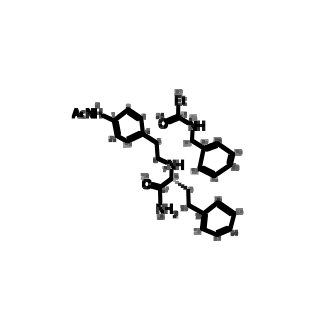 CC(=O)Nc1ccc(CCN[C@H](CCc2ccccc2)C(N)=O)cc1.CCC(=O)NCc1cc[c]cc1